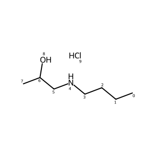 CCCCNCC(C)O.Cl